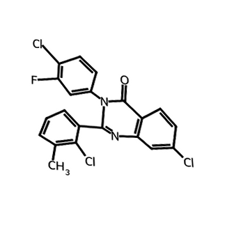 Cc1cccc(-c2nc3cc(Cl)ccc3c(=O)n2-c2ccc(Cl)c(F)c2)c1Cl